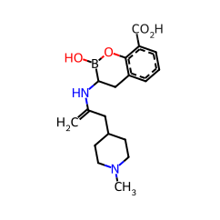 C=C(CC1CCN(C)CC1)NC1Cc2cccc(C(=O)O)c2OB1O